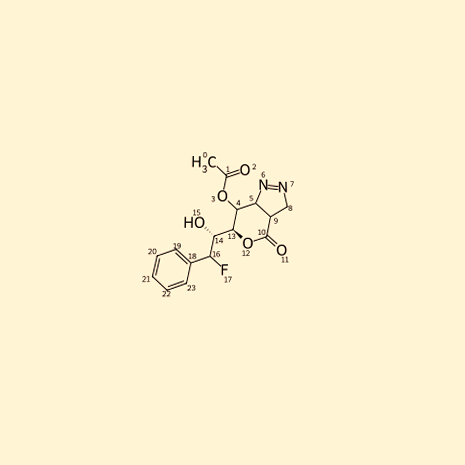 CC(=O)OC1C2N=NCC2C(=O)O[C@H]1[C@@H](O)C(F)c1ccccc1